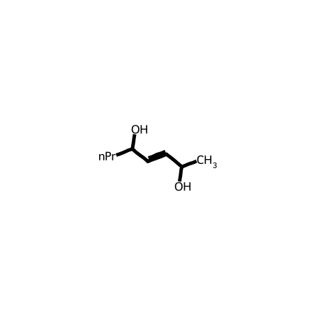 CCCC(O)C=CC(C)O